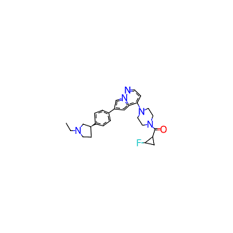 CCN1CC[C@H](c2ccc(-c3cc4c(N5CCN(C(=O)C6C[C@H]6F)CC5)ccnn4c3)cc2)C1